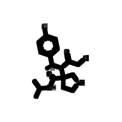 CC(C)NC(=O)C1(N(C(=O)CCl)[C@@H](C)c2ccc(Cl)cc2)CCNC1